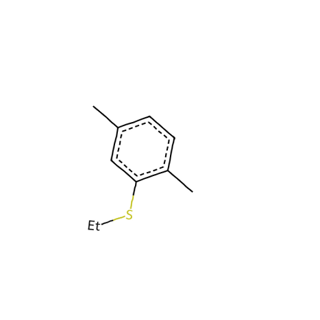 CCSc1cc(C)ccc1C